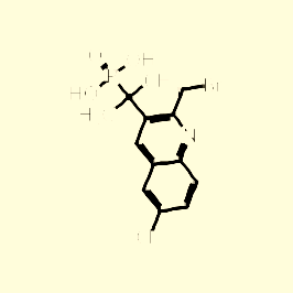 CC(C)(c1cc2cc(Cl)ccc2nc1CBr)P(=O)(O)O